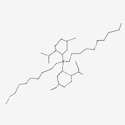 CCCCCCCCCC[N+](CCCCCCCCCC)(C1CC(C)CCC1C(C)C)C1CC(C)CCC1C(C)C